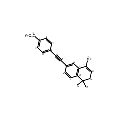 CCOC(=O)c1ccc(C#Cc2ccc3c(c2)C(C(C)(C)C)=CCC3(C)C)cc1